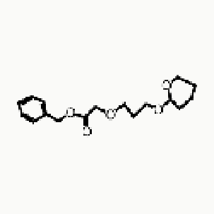 O=C(COCCCOC1CCCCO1)OCc1ccccc1